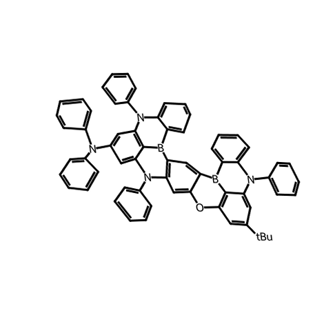 CC(C)(C)c1cc2c3c(c1)N(c1ccccc1)c1ccccc1B3c1cc3c(cc1O2)N(c1ccccc1)c1cc(N(c2ccccc2)c2ccccc2)cc2c1B3c1ccccc1N2c1ccccc1